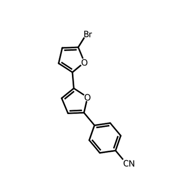 N#Cc1ccc(-c2ccc(-c3ccc(Br)o3)o2)cc1